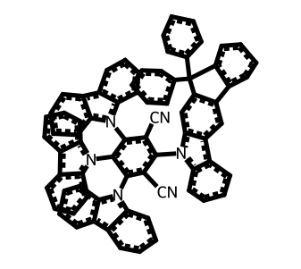 N#Cc1c(-n2c3ccccc3c3cc4c(cc32)C(c2ccccc2)(c2ccccc2)c2ccccc2-4)c(C#N)c(-n2c3ccccc3c3ccccc32)c(-n2c3ccccc3c3ccccc32)c1-n1c2ccccc2c2ccccc21